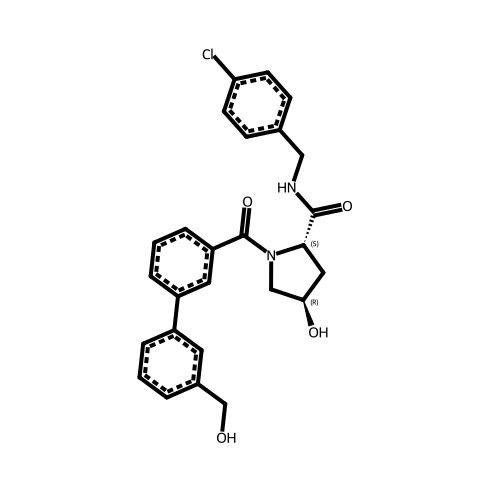 O=C(NCc1ccc(Cl)cc1)[C@@H]1C[C@@H](O)CN1C(=O)c1cccc(-c2cccc(CO)c2)c1